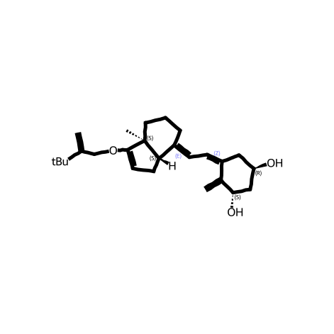 C=C1/C(=C\C=C2/CCC[C@]3(C)C(OCC(=C)C(C)(C)C)=CC[C@@H]23)C[C@@H](O)C[C@@H]1O